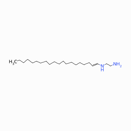 CCCCCCCCCCCCCCCCCCC=CNCCN